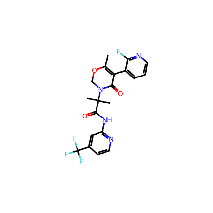 CC1=C(c2cccnc2F)C(=O)N(C(C)(C)C(=O)Nc2cc(C(F)(F)F)ccn2)CO1